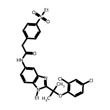 CCn1c(C(C)(C)Oc2ccc(Cl)cc2Cl)nc2cc(NC(=O)Cc3ccc(S(=O)(=O)CC)cc3)ccc21